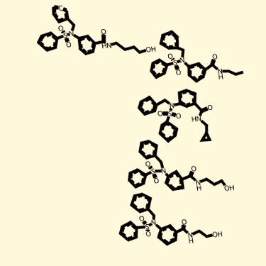 CCCNC(=O)c1cccc(N(Cc2ccccc2)S(=O)(=O)c2ccccc2)c1.O=C(NCC1CC1)c1cccc(N(Cc2ccccc2)S(=O)(=O)c2ccccc2)c1.O=C(NCCCCO)c1cccc(N(Cc2ccccc2)S(=O)(=O)c2ccccc2)c1.O=C(NCCCO)c1cccc(N(Cc2ccccc2)S(=O)(=O)c2ccccc2)c1.O=C(NCCO)c1cccc(N(Cc2ccccc2)S(=O)(=O)c2ccccc2)c1